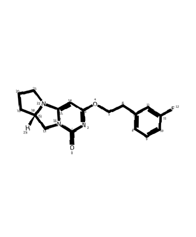 O=c1nc(OCCc2cccc(F)c2)cc2n1C[C@@H]1CCCN21